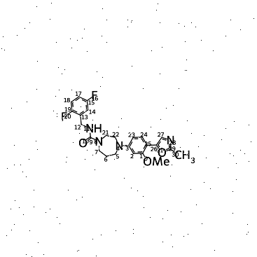 COc1cc(N2CCCN(C(=O)NCc3cc(F)ccc3F)CC2)ccc1-c1cnc(C)o1